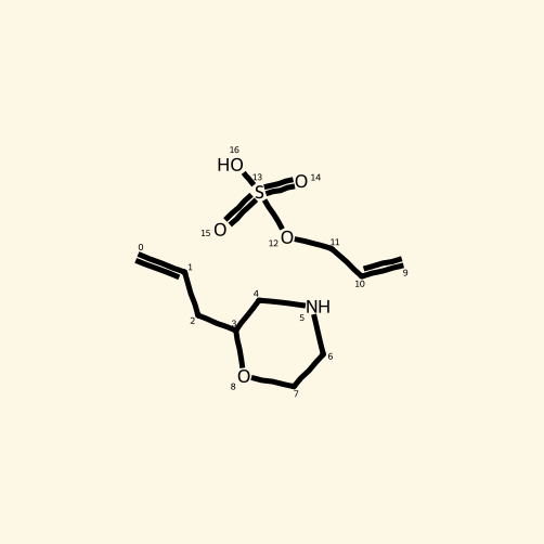 C=CCC1CNCCO1.C=CCOS(=O)(=O)O